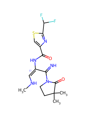 CN/C=C(/NC(=O)c1csc(C(F)F)n1)C(=N)N1CCC(C)(C)C1=O